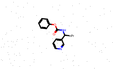 CCCC(NC(=O)Oc1ccccc1)c1cccnc1